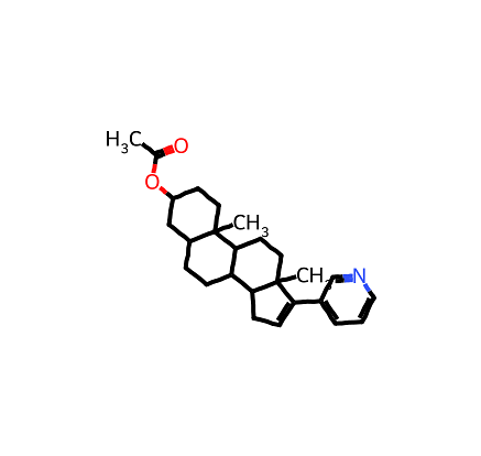 CC(=O)OC1CCC2(C)C(CCC3C4CC=C(c5cccnc5)C4(C)CCC32)C1